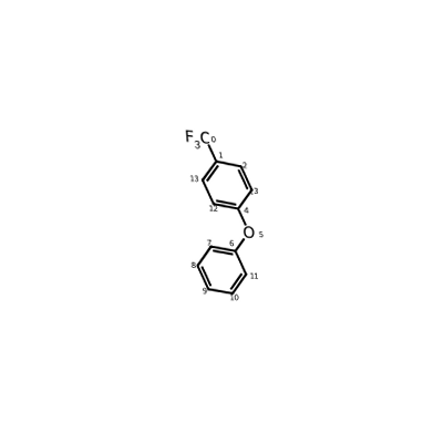 FC(F)(F)c1c[c]c(Oc2ccccc2)cc1